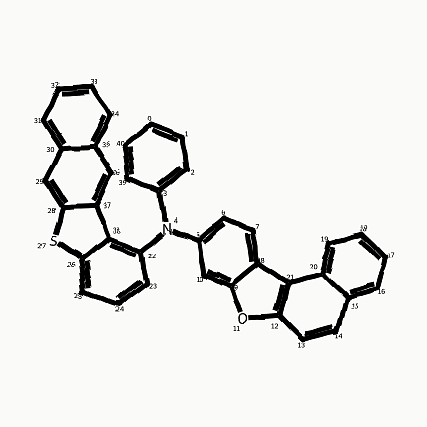 c1ccc(N(c2ccc3c(c2)oc2ccc4ccccc4c23)c2cccc3sc4cc5ccccc5cc4c23)cc1